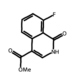 COC(=O)c1c[nH]c(=O)c2c(F)cccc12